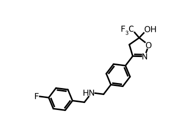 OC1(C(F)(F)F)CC(c2ccc(CNCc3ccc(F)cc3)cc2)=NO1